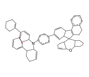 C1=CCCC(C2CCC=CC2N(c2ccc(C3=CC4C(C=C3)C3=C(CCc5ccccc53)C43C4CCC=CC4OC4CCCCC43)cc2)C2C=CC(C3=CCCCC3)=CC2)=C1